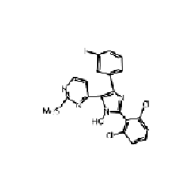 CSc1nccc(-c2c(-c3cccc(I)c3)nc(-c3c(Cl)cccc3Cl)n2O)n1